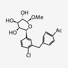 CO[C@H]1O[C@@H](c2ccc(Cl)c(Cc3ccc(C(C)=O)cc3)c2)[C@@H](O)[C@@H](O)[C@@H]1O